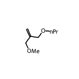 C=C(COC)COCCC